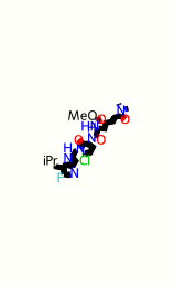 COC(=O)NC(CCC=CC(=O)N(C)C)C(=O)Nc1ccc(Cl)n(Cc2cc3ncc(F)c(CC(C)C)c3[nH]2)c1=O